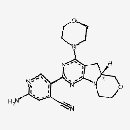 N#Cc1cc(N)ncc1-c1nc(N2CCOCC2)c2c(n1)N1CCOC[C@H]1C2